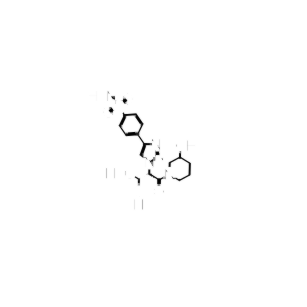 CC1CCCN(C(=O)[C@H](C(C)C)n2cc(-c3ccc(S(N)(=O)=O)cc3)nn2)C1